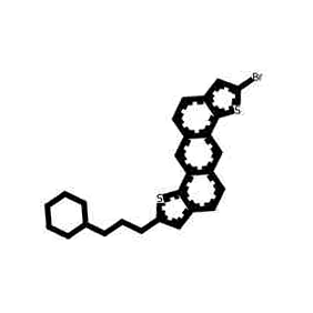 Brc1cc2ccc3cc4c(ccc5cc(CCCC6CCCCC6)sc54)cc3c2s1